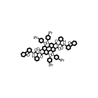 CC(C)c1ccc(Oc2cc3c4c(cc(Oc5ccc(C(C)C)cc5)c5c6c(Oc7ccc(C(C)C)cc7)cc7c8c(cc(Oc9ccc(C(C)C)cc9)c(c2c45)c86)C(=O)N(C(C(=O)Nc2cccc4c2oc2ccccc24)c2ccccc2)C7=O)C(=O)N(C(C(=O)Nc2cccc4c2oc2ccccc24)c2ccccc2)C3=O)cc1